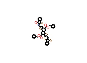 O=C(OCc1ccccc1)C1=CC2c3sc(/C=C4/C(=O)c5ccccc5C4=S)cc3C(C(=O)OCc3ccccc3)=CC2c2sc(C=C3C(=S)c4ccccc4C3=S)cc21